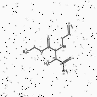 C=CCNC(C(=O)OCC)C(C)C(C)=O